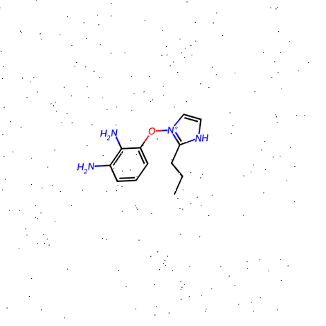 CCCc1[nH]cc[n+]1Oc1cccc(N)c1N